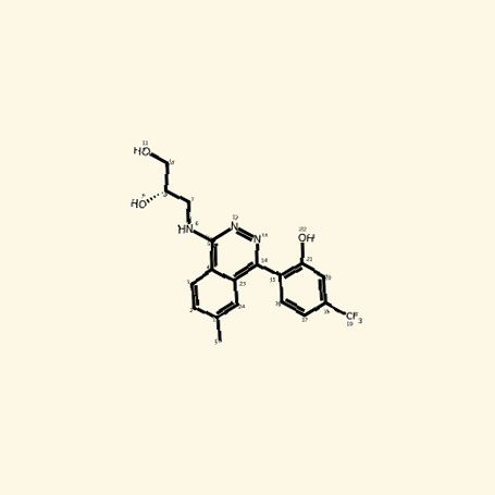 Cc1ccc2c(NC[C@H](O)CO)nnc(-c3ccc(C(F)(F)F)cc3O)c2c1